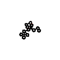 c1ccc(C2(c3ccccc3)c3ccccc3-c3c(-c4ccc(N(c5cccc(-c6cccc7ccccc67)c5)c5ccccc5-c5cccc6cccc(C7CCCCC7)c56)cc4)cccc32)cc1